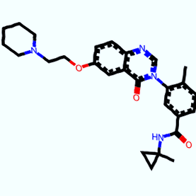 Cc1ccc(C(=O)NC2(C)CC2)cc1-n1cnc2ccc(OCCN3CCCCC3)cc2c1=O